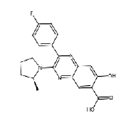 C[C@H]1CCCN1c1nc2cc(C(=O)O)c(O)cc2nc1-c1ccc(F)cc1